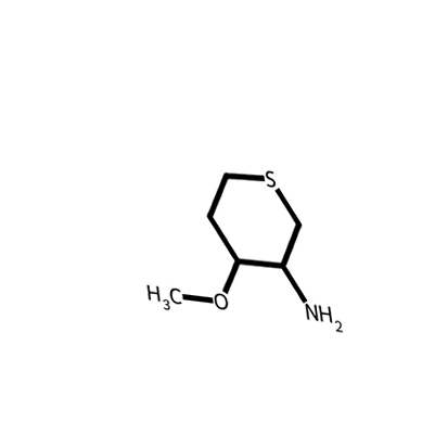 COC1CCSCC1N